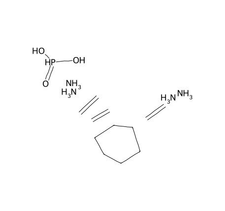 C1CCCCC1.C=C.C=C.C=C.N.N.N.N.O=[PH](O)O